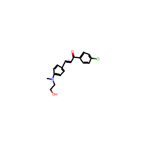 CN(CCO)c1ccc(/C=C/C(=O)c2ccc(Cl)cc2)cc1